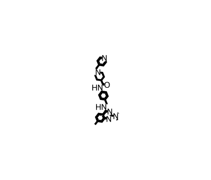 Cc1ccc2c(NCc3ccc(NC(=O)C4CCN(Cc5ccncc5)CC4)cc3)nc(N(C)C)nc2c1